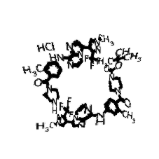 Cc1cc(Nc2nccn3c(-c4cn(C)nc4C(F)(F)F)cnc23)ccc1C(=O)N1CCN(C(=O)OC(C)(C)C)CC1.Cc1cc(Nc2nccn3c(-c4cn(C)nc4C(F)(F)F)cnc23)ccc1C(=O)N1CCNCC1.Cl